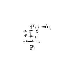 C=COC(F)(C(F)(F)F)C(F)(F)C(F)(F)C(F)(F)F